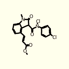 COC(=O)C=Cc1cccc2c1C(C(=O)N(Cl)c1ccc(Cl)cc1)C(=O)N2C